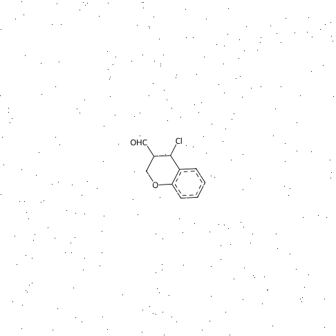 O=CC1COc2ccccc2C1Cl